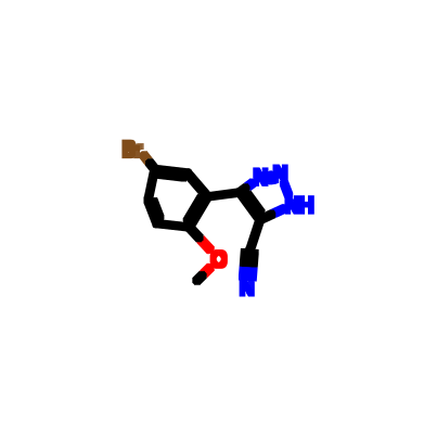 COc1ccc(Br)cc1-c1nn[nH]c1C#N